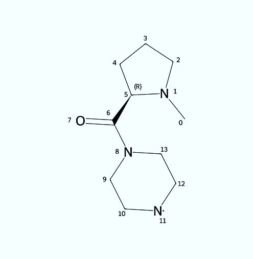 CN1CCC[C@@H]1C(=O)N1CC[N]CC1